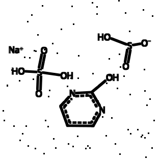 O=S(=O)(O)O.O=S([O-])O.Oc1ncccn1.[Na+]